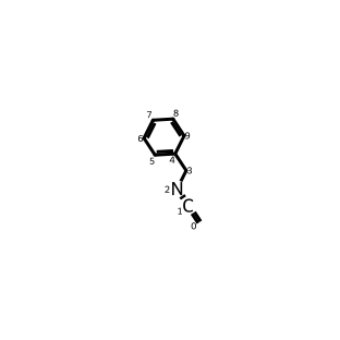 C=C=NCc1ccccc1